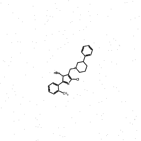 CCCCn1c(-c2ccccc2C)nc(Cl)c1CN1CCCC(c2ccccc2)C1